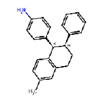 Cc1ccc2c(c1)CC[C@H](c1ccccc1)[C@@H]2c1ccc(N)cc1